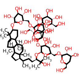 C[C@H](CC[C@@H](O[C@@H]1O[C@H](CO[C@@H]2O[C@H](CO)C[C@H](O)[C@H]2O)[C@@H](O)[C@H](O)[C@H]1O[C@@H]1O[C@H](CO)[C@@H](O[C@@H]2O[C@H](CO)[C@@H](O)[C@H](O)[C@H]2O)[C@H](O)[C@H]1O)C(C)(C)O)[C@H]1CC[C@@]2(C)[C@@H]3CC=C4[C@@H](CC[C@H](O[C@@H]5O[C@H](CO[C@@H]6O[C@H](CO)[C@@H](O)[C@H](O)[C@H]6O)[C@@H](O)[C@H](O)[C@H]5O)C4(C)C)[C@]3(C)[C@H](O)C[C@]12C